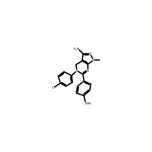 CSc1ccc(C2=Nc3c(c(N)nn3C)CN2c2ccc(Cl)cc2)cc1